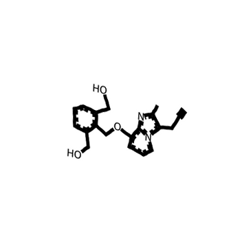 C#CCc1c(C)nc2c(OCc3c(CO)cccc3CO)cccn12